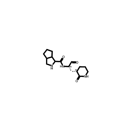 O=C[C@H](C[C@@H]1CCCNC1=O)NC(=O)C1NCC2CCCC21